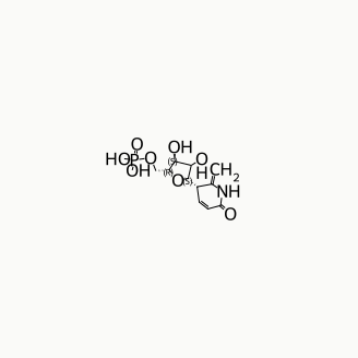 C=C1NC(=O)C=CC1[C@@H]1O[C@H](COP(=O)(O)O)[C@@H](O)C1O